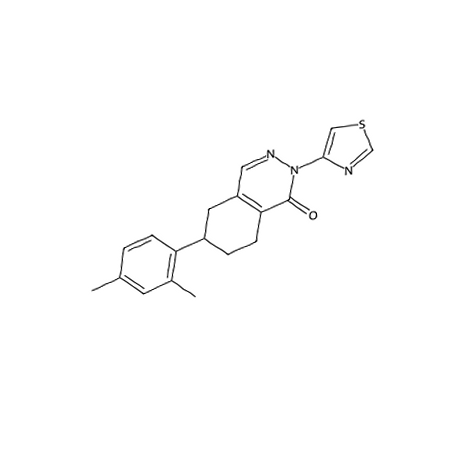 Cc1ccc(C2CCc3c(cnn(-c4cscn4)c3=O)C2)c(C)c1